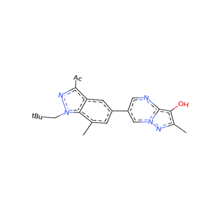 CC(=O)c1nn(CC(C)(C)C)c2c(C)cc(-c3cnc4c(O)c(C)nn4c3)cc12